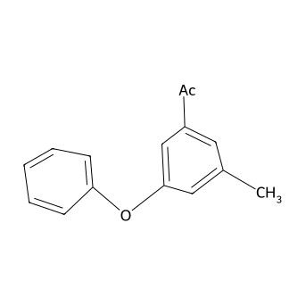 CC(=O)c1cc(C)cc(Oc2ccccc2)c1